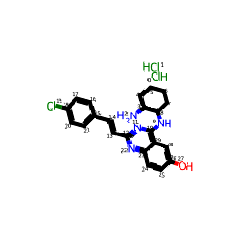 Cl.Cl.NC1CCCCC1Nc1nc(C=Cc2ccc(Cl)cc2)nc2ccc(O)cc12